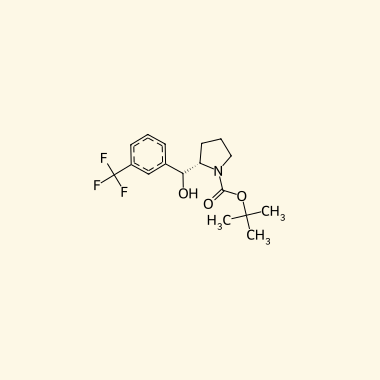 CC(C)(C)OC(=O)N1CCC[C@H]1C(O)c1cccc(C(F)(F)F)c1